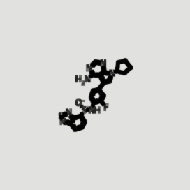 Nc1ncnc2c1c(-c1ccc(N[S+]([O-])c3cccc4nsnc34)c(F)c1)cn2C1CCCC1